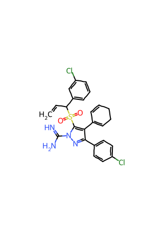 C=CC(c1cccc(Cl)c1)S(=O)(=O)c1c(C2=CCCC=C2)c(-c2ccc(Cl)cc2)nn1C(=N)N